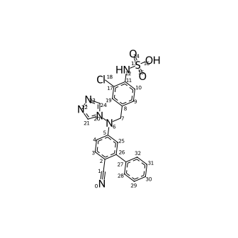 N#Cc1ccc(N(Cc2ccc(NS(=O)(=O)O)c(Cl)c2)n2cnnc2)cc1-c1ccccc1